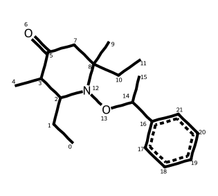 CCC1C(C)C(=O)CC(C)(CC)N1OC(C)c1ccccc1